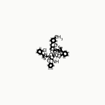 CN(C(=O)[C@@H](CC(=O)O)Nc1ccccc1)c1nc(-c2ccccc2Cl)cs1.Cc1ccc(CC(CC(=O)O)C(=O)N(C)c2nc(-c3ccccc3Cl)cs2)cc1